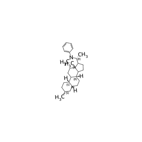 C[C@H]1CC[C@@H]2C3CC[C@@]4(C)C(CCC4[C@@H](C)N(C)c4ccccc4)[C@@H]3CC[C@@H]2C1